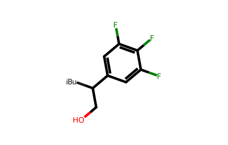 CCC(C)C(CO)c1cc(F)c(F)c(F)c1